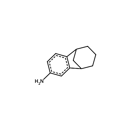 Nc1ccc2c(c1)C1CCCC2C1